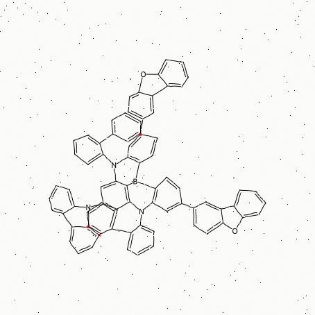 c1ccc(-c2ccccc2N2c3cc(-c4ccc5oc6ccccc6c5c4)ccc3B3c4ccc(-c5ccc6oc7ccccc7c6c5)cc4N(c4ccccc4-c4ccccc4)c4cc(-n5c6ccccc6c6ccccc65)cc2c43)cc1